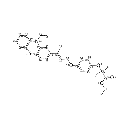 CCOC(=O)C(C)(C)Oc1ccc(OC/C=C(\C)c2ccc3c(c2)N(CC)c2ccccc2S3)cc1